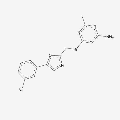 Cc1nc(N)cc(SCc2ncc(-c3cccc(Cl)c3)o2)n1